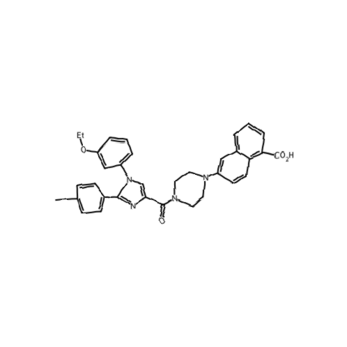 CCOc1cccc(-n2cc(C(=O)N3CCN(c4ccc5c(C(=O)O)cccc5c4)CC3)nc2-c2ccc(C)cc2)c1